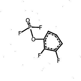 O=P(F)(F)Oc1cccc(F)c1F